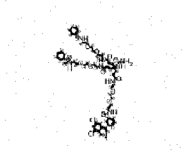 CN1Cc2c(Cl)cc(Cl)cc2[C@H](c2cccc([S+]([O-])NCCOCCOCCNC(=O)CCC(CCC(=O)NCCOCCOCCNSc3ccccc3)(CCC(=O)NCCOCCOCCNS(=O)(=O)c3ccccc3)NC(N)=O)c2)C1